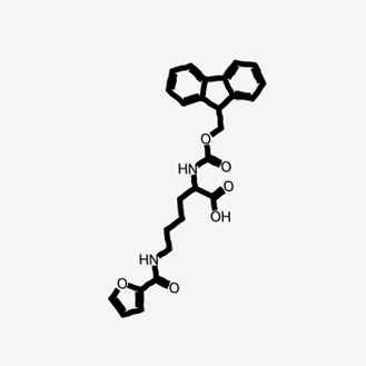 O=C(NC(CCCCNC(=O)c1ccco1)C(=O)O)OCC1c2ccccc2-c2ccccc21